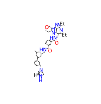 CCc1nc2c(cnn2CC)c(NC2CCOCC2)c1CNC(=O)c1cccc(C(=O)NCc2cc(C)cc(-c3cccc(CN4C[C@@H]5CC4CN5)c3)c2)c1